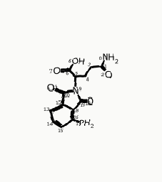 NC(=O)CCC(C(=O)O)N1C(=O)c2cccc(P)c2C1=O